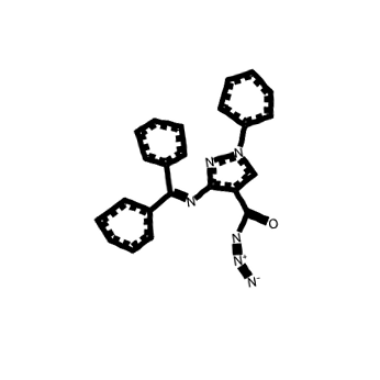 [N-]=[N+]=NC(=O)c1cn(-c2ccccc2)nc1N=C(c1ccccc1)c1ccccc1